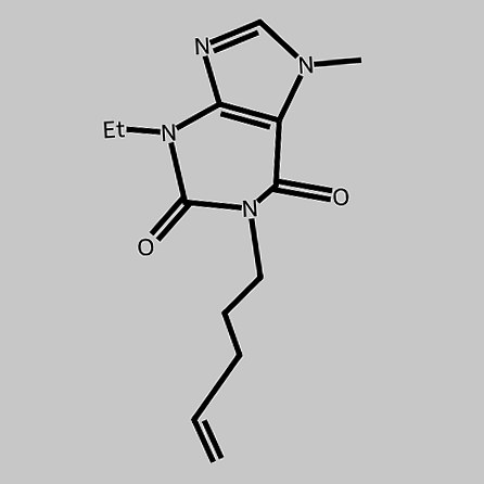 C=CCCCn1c(=O)c2c(ncn2C)n(CC)c1=O